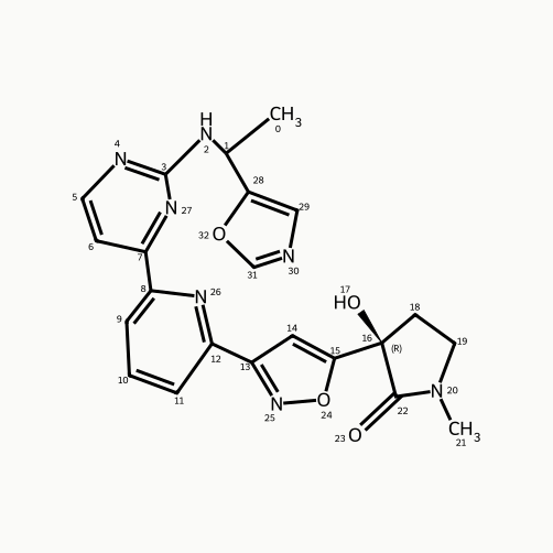 CC(Nc1nccc(-c2cccc(-c3cc([C@]4(O)CCN(C)C4=O)on3)n2)n1)c1cnco1